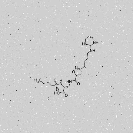 CCCCS(=O)(=O)NC(CNC(=O)C1CC(CCCCNC2NC=CCN2)=NO1)C(=O)O